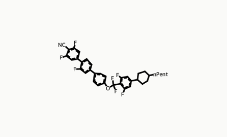 CCCCCC1CCC(c2cc(F)c(C(F)(F)Oc3ccc(-c4ccc(-c5cc(F)c(C#N)c(F)c5)c(F)c4)cc3)c(F)c2)CC1